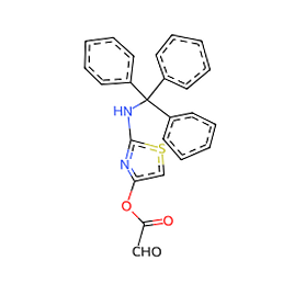 O=CC(=O)Oc1csc(NC(c2ccccc2)(c2ccccc2)c2ccccc2)n1